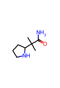 CC(C)(C(N)=O)C1CCCN1